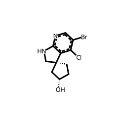 O[C@H]1CC[C@@]2(CNc3ncc(Br)c(Cl)c32)C1